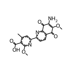 COC1=C(N)C(=O)c2nc(-c3cc(C)c(C(=O)O)c(OC)n3)ccc2C1=O